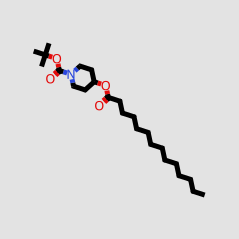 CCCCCCCCCCCCCC(=O)OC1CCN(C(=O)OC(C)(C)C)CC1